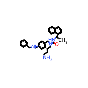 CC(NC(=O)N(CCCCN)Cc1ccc(CNCc2ccccc2)cc1)c1cccc2ccccc12